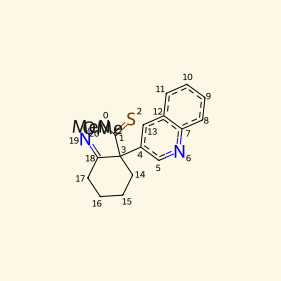 CNC(=S)C1(c2cnc3ccccc3c2)CCCC/C1=N/OC